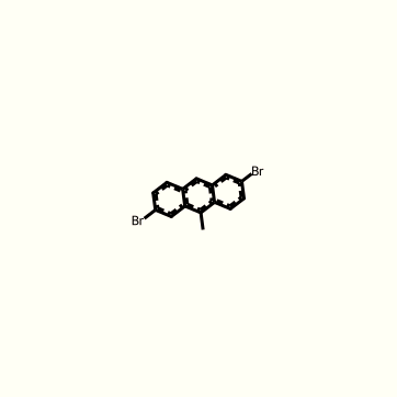 Cc1c2ccc(Br)cc2cc2ccc(Br)cc12